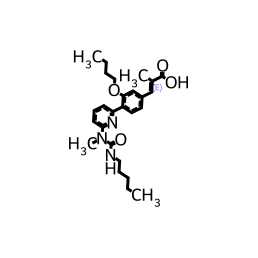 CCCCCNC(=O)N(C)c1cccc(-c2ccc(/C=C(\C)C(=O)O)cc2OCCCC)n1